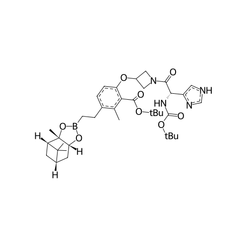 Cc1c(CCB2O[C@@H]3C[C@@H]4C[C@@H](C4(C)C)[C@]3(C)O2)ccc(OC2CN(C(=O)[C@@H](NC(=O)OC(C)(C)C)c3c[nH]cn3)C2)c1C(=O)OC(C)(C)C